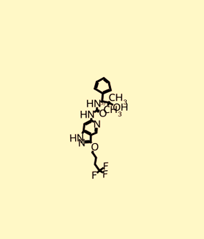 CC(C)(O)[C@@H](NC(=O)Nc1cc2[nH]nc(OCCCC(F)(F)F)c2cn1)c1ccccc1